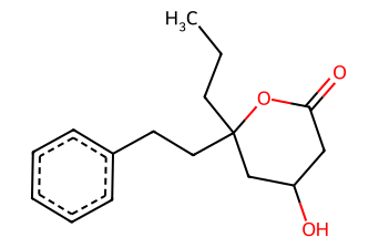 CCCC1(CCc2ccccc2)CC(O)CC(=O)O1